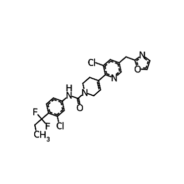 CCC(F)(F)c1ccc(NC(=O)N2CC=C(c3ncc(Cc4ncco4)cc3Cl)CC2)cc1Cl